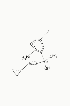 C[C@](O)(C#CC1CC1)c1cc(I)ccc1N